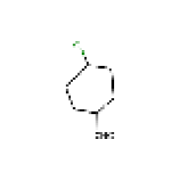 O=CC1CCC(Cl)CC1